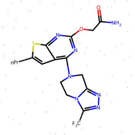 CCCc1cc2c(N3CCn4c(nnc4C(F)(F)F)C3)nc(OCC(N)=O)nc2s1